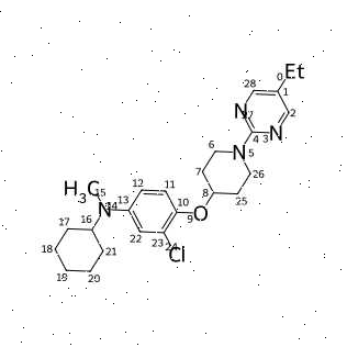 CCc1cnc(N2CCC(Oc3ccc(N(C)C4CCCCC4)cc3Cl)CC2)nc1